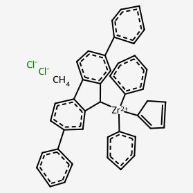 C.C1=CC[C]([Zr+2]([c]2ccccc2)([c]2ccccc2)[CH]2c3cc(-c4ccccc4)ccc3-c3ccc(-c4ccccc4)cc32)=C1.[Cl-].[Cl-]